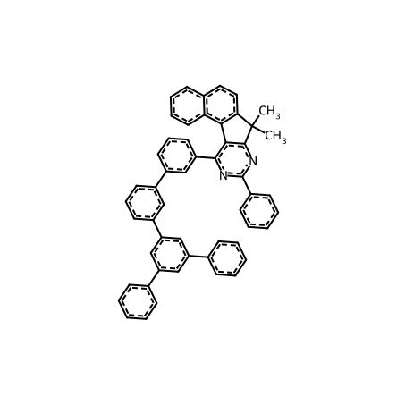 CC1(C)c2ccc3ccccc3c2-c2c(-c3cccc(-c4cccc(-c5cc(-c6ccccc6)cc(-c6ccccc6)c5)c4)c3)nc(-c3ccccc3)nc21